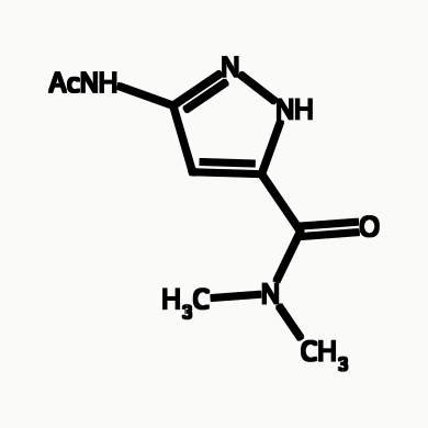 CC(=O)Nc1cc(C(=O)N(C)C)[nH]n1